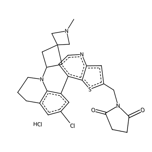 CN1CC2(CC(N3CCCc4cc(Cl)cc(-c5ccnc6cc(CN7C(=O)CCC7=O)sc56)c43)C2)C1.Cl